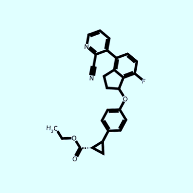 CCOC(=O)[C@H]1CC1c1ccc(OC2CCc3c(-c4cccnc4C#N)ccc(F)c32)cc1